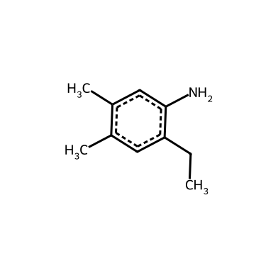 CCc1cc(C)c(C)cc1N